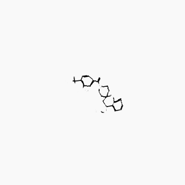 C=C(c1ccc(C(C)(C)CC)c(OC)c1)N1CCC2(CC1)C[C@H](OC(C)C)c1ccccc1O2